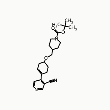 CC(C)(C)OC(=O)N1CCC(COC2CC=C(c3ccncc3C#N)CC2)CC1